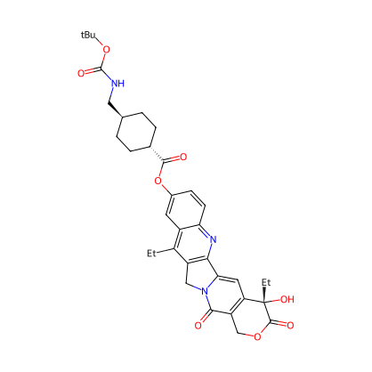 CCc1c2c(nc3ccc(OC(=O)[C@H]4CC[C@H](CNC(=O)OC(C)(C)C)CC4)cc13)-c1cc3c(c(=O)n1C2)COC(=O)[C@]3(O)CC